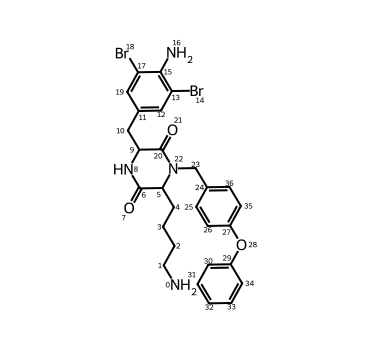 NCCCCC1C(=O)NC(Cc2cc(Br)c(N)c(Br)c2)C(=O)N1Cc1ccc(Oc2ccccc2)cc1